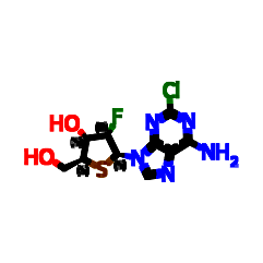 Nc1nc(Cl)nc2c1ncn2[C@H]1S[C@@H](CO)[C@@H](O)[C@H]1F